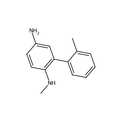 CNc1ccc(N)cc1-c1ccccc1C